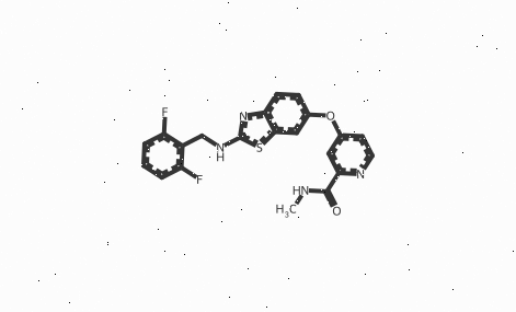 CNC(=O)c1cc(Oc2ccc3nc(NCc4c(F)cccc4F)sc3c2)ccn1